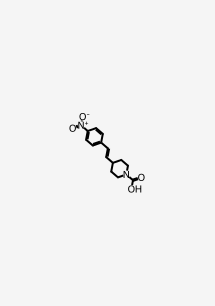 O=C(O)N1CCC(C=Cc2ccc([N+](=O)[O-])cc2)CC1